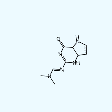 CN(C)/C=N/C1=NC(=O)C2NC=CC2N1